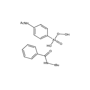 CC(=O)Nc1ccc([As](=O)(O)OO)cc1.CC(C)(C)NC(=O)c1ccccc1